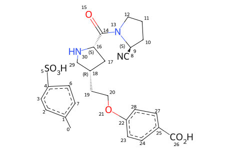 Cc1ccc(S(=O)(=O)O)cc1.N#C[C@@H]1CCCN1C(=O)[C@@H]1C[C@H](CCOc2ccc(C(=O)O)cc2)CN1